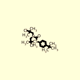 CC(C)(Cl)CN(CC(C)(C)Cl)C(=O)Sc1ccc(C(C)(C)C)cc1